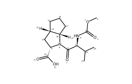 COC(=O)N[C@H](C(=O)N1[C@H](C(=O)O)C[C@@H]2CCC[C@@H]21)C(C)C